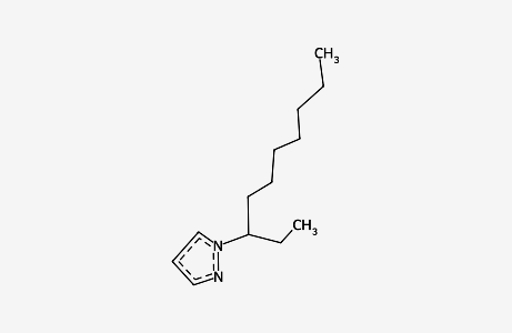 CCCCCCCC(CC)n1cccn1